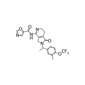 Cc1cc(C(C)N2CC3=C(CCN=C3NC(=O)c3cnco3)C2=O)ccc1OC(F)(F)F